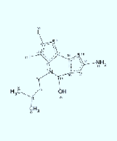 CC(C)CCN1c2c(sc(I)c2I)-c2sc(N)cc2C1O